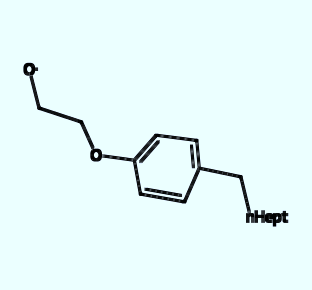 CCCCCCCCc1ccc(OCC[O])cc1